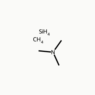 C.CN(C)C.[SiH4]